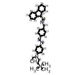 CCN(CC[N+](C)(C)C)c1ccc(/N=N/c2ccc(/C=N/N=C3c4ccccc4-c4ccccc43)cc2)cc1